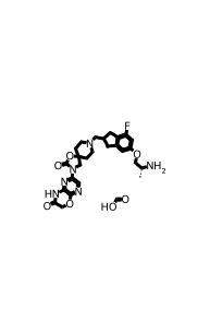 C[C@@H](N)COc1cc(F)c2c(c1)CC(CN1CCC3(CC1)CN(c1cnc4c(n1)NC(=O)CO4)C(=O)O3)C2.O=CO